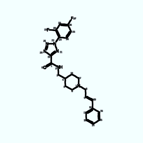 O=C(NCC1CCN(CC=Cc2ccccc2)CC1)c1nnn(-c2ccc(F)cc2F)n1